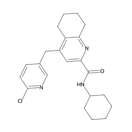 O=C(NC1CCCCC1)c1cc(Cc2ccc(Cl)nc2)c2c(n1)CCCC2